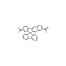 CN(C)c1ccc2c(c1)C1(c3ccccc3-c3ccccc31)c1cc3cc(N(C)I)ccc3cc1-2